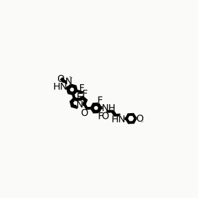 COC1CCC(NC/C=C/C(=O)Nc2c(F)cc(C(=O)c3ccc4c(-c5cc6[nH]c(=O)n(C)c6cc5C(F)(F)F)cccn34)cc2F)CC1